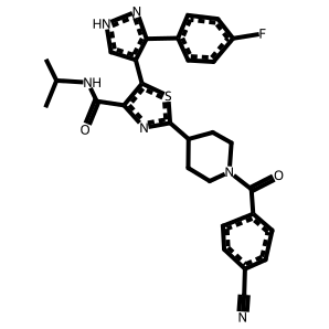 CC(C)NC(=O)c1nc(C2CCN(C(=O)c3ccc(C#N)cc3)CC2)sc1-c1c[nH]nc1-c1ccc(F)cc1